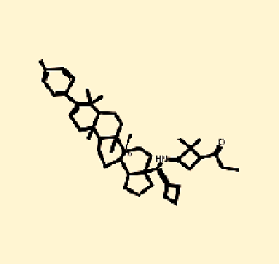 CCC(=O)C1CC(NC(=C2CCC2)C23CCCC2C2CCC4C5(C)CC=C(c6ccc(C)cc6)C(C)(C)C5CCC4(C)[C@]2(C)CC3)C1(C)C